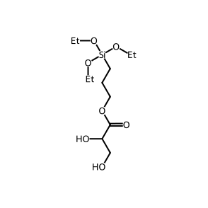 CCO[Si](CCCOC(=O)C(O)CO)(OCC)OCC